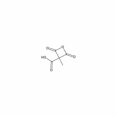 CC1(C(=O)O)C(=O)OC1=O